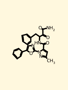 Cc1cc(C(=O)NC(Cc2ccccc2)C(=O)C(N)=O)n(-c2ncc(-c3ccccc3)o2)n1